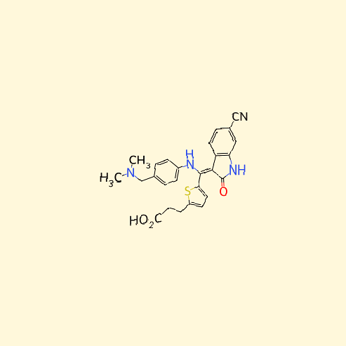 CN(C)Cc1ccc(NC(=C2C(=O)Nc3cc(C#N)ccc32)c2ccc(CCC(=O)O)s2)cc1